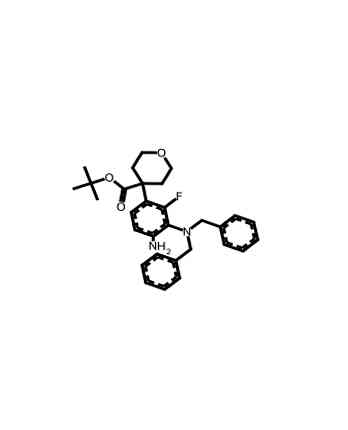 CC(C)(C)OC(=O)C1(c2ccc(N)c(N(Cc3ccccc3)Cc3ccccc3)c2F)CCOCC1